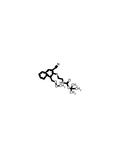 COOCc1c(SCCNC(=O)OC(C)(C)C)c(C#N)cc2ccccc12